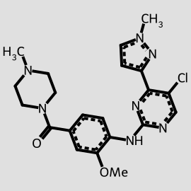 COc1cc(C(=O)N2CCN(C)CC2)ccc1Nc1ncc(Cl)c(-c2ccn(C)n2)n1